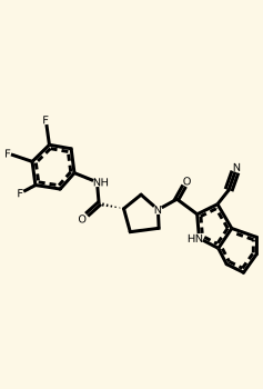 N#Cc1c(C(=O)N2CC[C@H](C(=O)Nc3cc(F)c(F)c(F)c3)C2)[nH]c2ccccc12